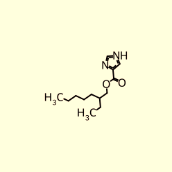 CCCCCC(CC)COC(=O)c1c[nH]cn1